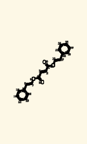 O=C(C=CC(=O)OC=Cc1ccccc1)OC=Cc1ccccc1